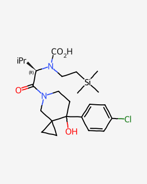 CC(C)[C@H](C(=O)N1CCC(O)(c2ccc(Cl)cc2)C2(CC2)C1)N(CC[Si](C)(C)C)C(=O)O